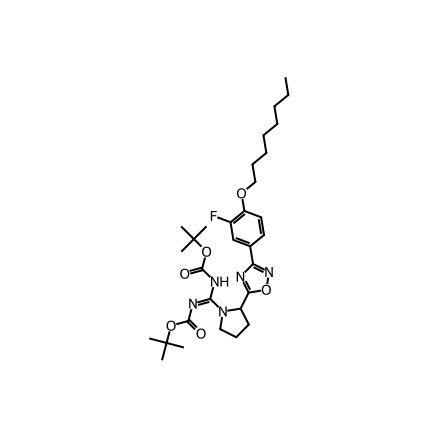 CCCCCCCCOc1ccc(-c2noc(C3CCCN3/C(=N\C(=O)OC(C)(C)C)NC(=O)OC(C)(C)C)n2)cc1F